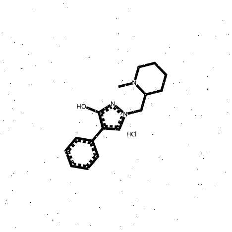 CN1CCCCC1Cn1cc(-c2ccccc2)c(O)n1.Cl